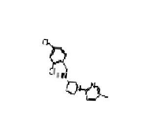 Cc1ccc(N2CC[C@H](NCc3ccc(Cl)cc3Cl)C2)nc1